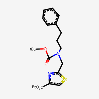 CCOC(=O)c1csc(CN(CCCc2ccccc2)C(=O)OC(C)(C)C)n1